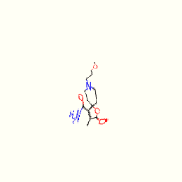 COCCCN1CCC2(CC1)OC(=O)C(C)=C2C(N)=O